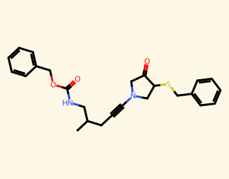 CC(CC#CN1CC(=O)C(SCc2ccccc2)C1)CNC(=O)OCc1ccccc1